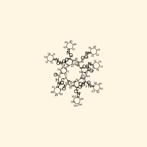 CC1c2cc(c(C(=O)ON=C3CCCCC3)cc2C=O)C(C)c2cc(c(COON=C3CCCCC3)cc2C(=O)ON=C2CCCCC2)C(C)c2cc(c(C(=O)ON=C3CCCCC3)cc2C(=O)ON=C2CCCCC2)C(C)c2cc1c(C(=O)ON=C1CCCCC1)cc2C(=O)ON=C1CCCCC1